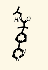 CC(C)CNC(=O)C(C)(C)c1ccc(-c2ccncn2)cc1